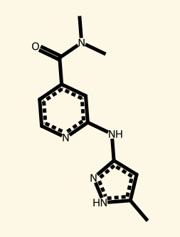 Cc1cc(Nc2cc(C(=O)N(C)C)ccn2)n[nH]1